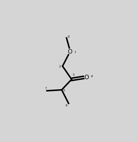 COCC(=O)C(C)C